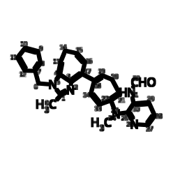 Cc1nc2c(n1Cc1ccccc1)=CCC=CC=2C1=CCC=C(N(C)c2ncccc2NC=O)C=C1